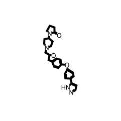 O=C1CCCN1C1CCN(CC2Cc3ccc(Oc4ccc(-c5ccn[nH]5)cc4)cc3O2)CC1